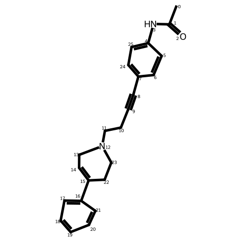 CC(=O)Nc1ccc(C#CCCN2CC=C(c3ccccc3)CC2)cc1